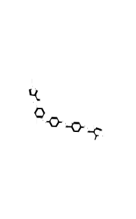 CC1NC=CC1C(=O)Nc1ccc(C(=O)Nc2ccc(Nc3ccc(NC(=O)c4cc[nH]c4)cc3)cc2)cc1